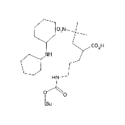 C1CCC(NC2CCCCC2)CC1.CC(C)(C)OC(=O)NCCCC(CC(C)(C)[N+](=O)[O-])C(=O)O